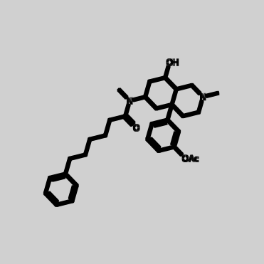 CC(=O)Oc1cccc(C23CCN(C)CC2C(O)CC(N(C)C(=O)CCCCCc2ccccc2)C3)c1